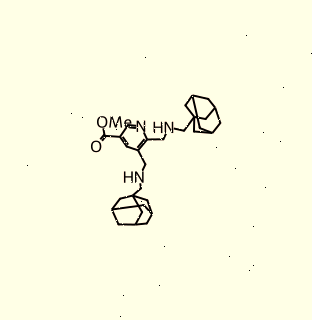 COC(=O)c1cnc(CNCC23CC4CC(CC(C4)C2)C3)c(CNCC23CC4CC(CC(C4)C2)C3)c1